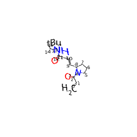 C=CC(=O)N1CCCC1C=CC(=O)NCC(C)(C)C